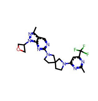 Cc1nc(N2CCC3(CCN(c4ncc5c(C)nn(C6COC6)c5n4)C3)C2)cc(C(F)(F)F)n1